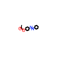 CC1OC1Oc1ccc(/N=N/c2ccccc2)cc1